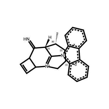 C[C@H]1[C@H]2C(=N)C3C=CC3[N+](=C2n2c3ccccc3c3ccccc32)C[C@@H](C)[C@H]1C